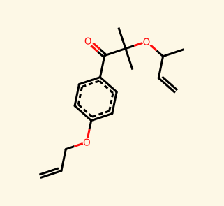 C=CCOc1ccc(C(=O)C(C)(C)OC(C)C=C)cc1